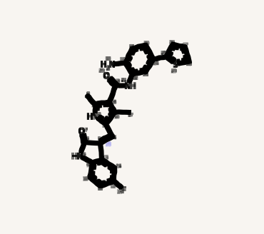 Cc1[nH]c(/C=C2\C(=O)Nc3ccc(F)cc32)c(C)c1C(=O)Nc1cc(-c2cccs2)ccc1N